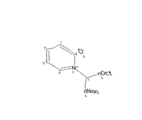 CCCCCCCCCC(CCCCCCCC)[n+]1ccccc1.[Cl-]